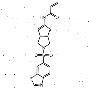 C=CC(=O)Nc1cc2c(s1)CN(S(=O)(=O)c1ccc3ncsc3c1)C2